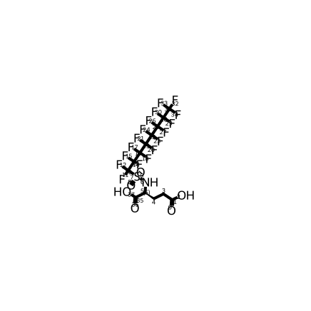 O=C(O)CC[C@H](NS(=O)(=O)C(F)(F)C(F)(F)C(F)(F)C(F)(F)C(F)(F)C(F)(F)C(F)(F)C(F)(F)F)C(=O)O